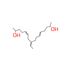 C/C=C(/C/C=C\CCC(C)O)CC/C=C/CCC(C)O